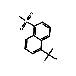 CS(=O)(=O)c1cccc2c(C(F)(F)F)cccc12